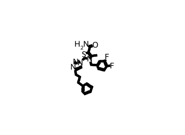 CC1=C(C(N)=O)SC(n2cc(CCCc3ccccc3)nn2)N1Cc1ccc(F)c(F)c1